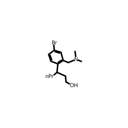 CCCC(CCO)c1ccc(Br)cc1CN(C)C